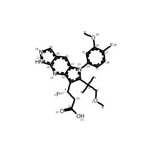 COCC(C)(C)c1c([C@@H](F)CC(=O)O)c2nc3[nH]ncc3cc2n1-c1ccc(F)c(OC)c1